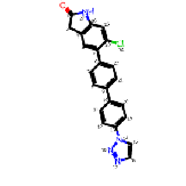 O=C1Cc2cc(-c3ccc(-c4ccc(-n5ccnn5)cc4)cc3)c(Cl)cc2N1